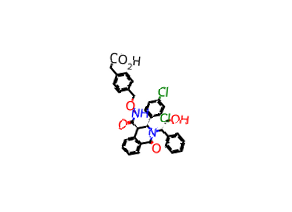 O=C(O)Cc1ccc(CONC(=O)[C@@H]2c3ccccc3C(=O)N([C@H](CO)c3ccccc3)[C@H]2c2ccc(Cl)cc2Cl)cc1